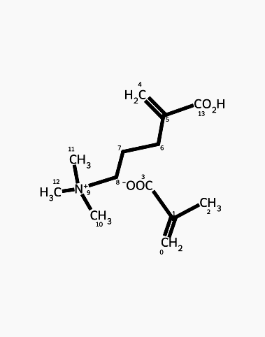 C=C(C)C(=O)[O-].C=C(CCC[N+](C)(C)C)C(=O)O